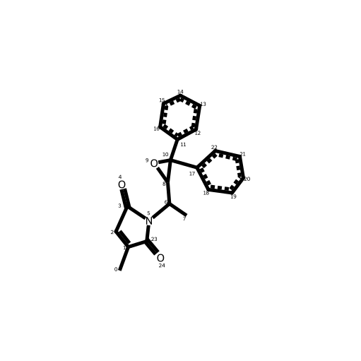 CC1=CC(=O)N(C(C)C2OC2(c2ccccc2)c2ccccc2)C1=O